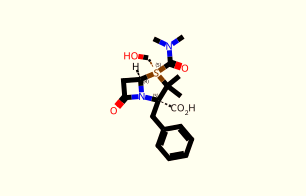 CN(C)C(=O)[S@]1(CO)[C@@H]2CC(=O)N2[C@@](Cc2ccccc2)(C(=O)O)C1(C)C